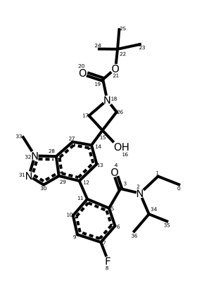 CCN(C(=O)c1cc(F)ccc1-c1cc(C2(O)CN(C(=O)OC(C)(C)C)C2)cc2c1cnn2C)C(C)C